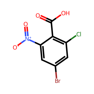 O=C(O)c1c(Cl)cc(Br)cc1[N+](=O)[O-]